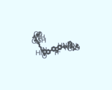 C=C(N[C@H](C(=O)N1CCC[C@H]1c1ncc(-c2ccc3c(c2)C(F)(F)c2cc(-c4ccc5c(=O)[nH]c(CCCCCN(S)C(=O)[C@@H](NC(=O)OC)C(C)C)nc5c4)ccc2-3)[nH]1)C(C)C)OC